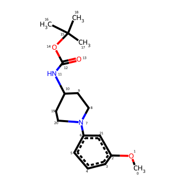 COc1cccc(N2CCC(NC(=O)OC(C)(C)C)CC2)c1